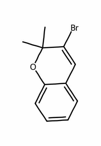 CC1(C)Oc2ccccc2C=C1Br